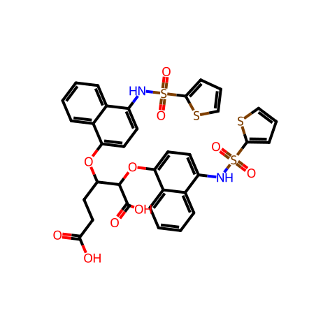 O=C(O)CCC(Oc1ccc(NS(=O)(=O)c2cccs2)c2ccccc12)C(Oc1ccc(NS(=O)(=O)c2cccs2)c2ccccc12)C(=O)O